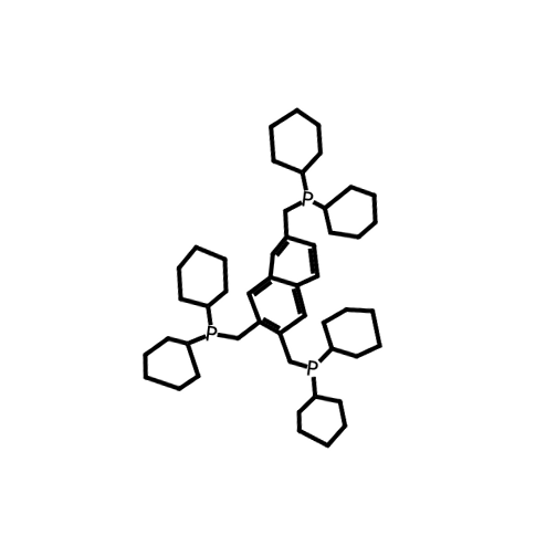 c1cc2cc(CP(C3CCCCC3)C3CCCCC3)c(CP(C3CCCCC3)C3CCCCC3)cc2cc1CP(C1CCCCC1)C1CCCCC1